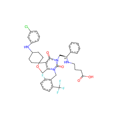 O=C(O)CCCN[C@@H](Cn1c(=O)c2c(n(Cc3c(F)cccc3C(F)(F)F)c1=O)COC21CCC(Nc2cccc(Cl)c2)CC1)c1ccccc1